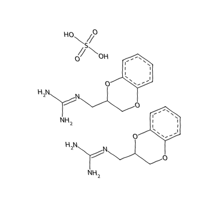 NC(N)=NCC1COc2ccccc2O1.NC(N)=NCC1COc2ccccc2O1.O=S(=O)(O)O